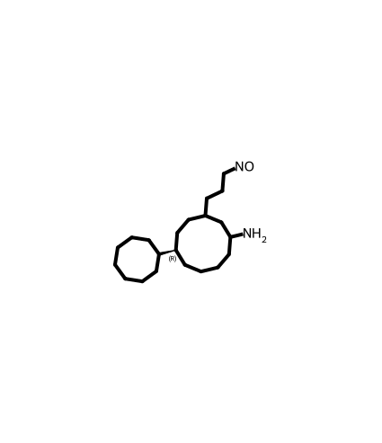 NC1CCCC[C@@H](C2CCCCCCC2)CCC(CCCN=O)C1